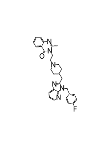 Cc1nc2ccccc2c(=O)n1CCN1CCC(Cc2nc3cccnc3n2Cc2ccc(F)cc2)CC1